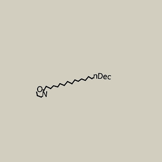 CCCCCCCCCCCCCCCCCCCCCCCCC1=NCCCO1